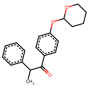 CC(C(=O)c1ccc(OC2CCCCO2)cc1)c1ccccc1